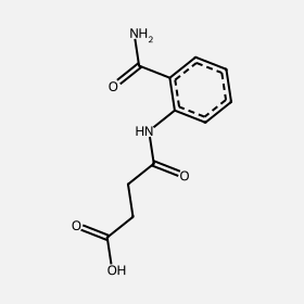 NC(=O)c1ccccc1NC(=O)CCC(=O)O